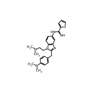 CN(C)CCn1c(Cc2ccc(N(C)C)cc2)nc2cc(NC(=N)c3cccs3)ccc21